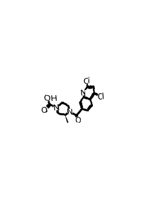 C[C@H]1CN(C(=O)O)CCN1C(=O)c1ccc2c(Cl)cc(Cl)nc2c1